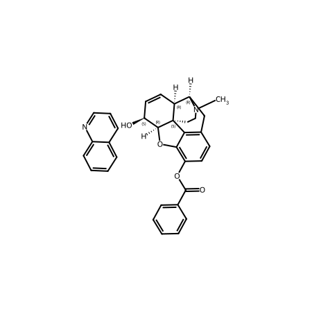 CN1CC[C@]23c4c5ccc(OC(=O)c6ccccc6)c4O[C@H]2[C@@H](O)C=C[C@H]3[C@H]1C5.c1ccc2ncccc2c1